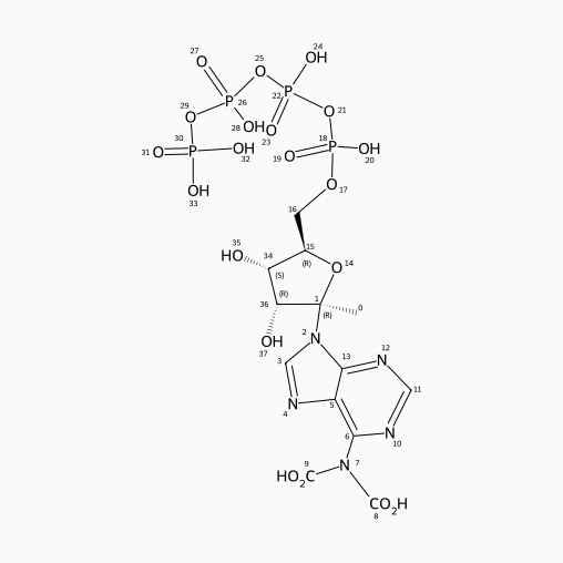 C[C@@]1(n2cnc3c(N(C(=O)O)C(=O)O)ncnc32)O[C@H](COP(=O)(O)OP(=O)(O)OP(=O)(O)OP(=O)(O)O)[C@@H](O)[C@H]1O